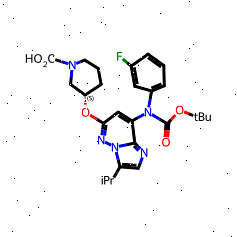 CC(C)c1cnc2c(N(C(=O)OC(C)(C)C)c3cccc(F)c3)cc(O[C@H]3CCCN(C(=O)O)C3)nn12